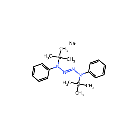 C[Si](C)(C)N(N=NN(c1ccccc1)[Si](C)(C)C)c1ccccc1.[Na]